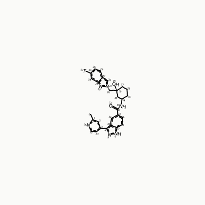 Cc1cc(-c2n[nH]c3ccc(C(=O)N[C@@H]4CCC[C@@](O)(Cn5cc6ccc(F)cc6n5)C4)cc23)ccn1